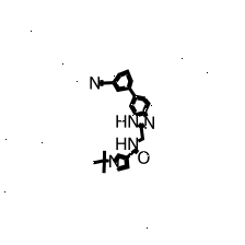 CC(C)(C)n1ccc(C(=O)NCc2nc3ccc(-c4cccc(C#N)c4)cc3[nH]2)c1